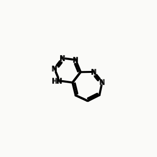 C1=CN=NC2=NN=NNC2=C1